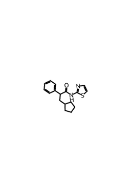 O=C(Nc1nccs1)C(CC1CCCC1)c1ccccc1